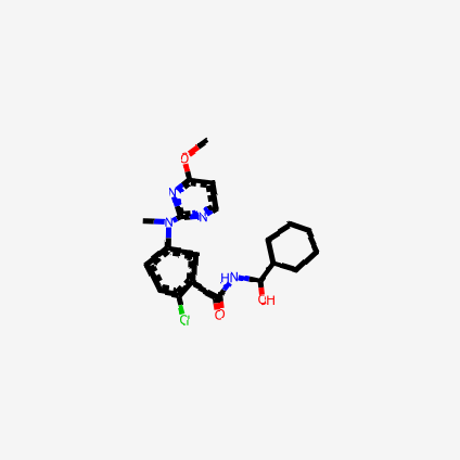 COc1ccnc(N(C)c2ccc(Cl)c(C(=O)NC(O)C3CCCCC3)c2)n1